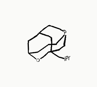 CC(C)C12CC3CC(CP(C3)C1)O2